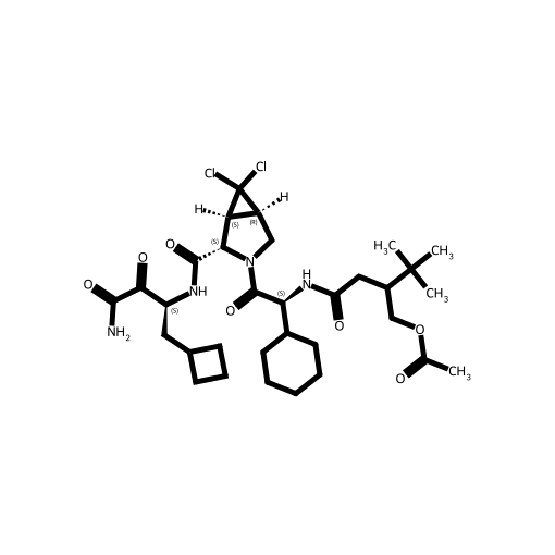 CC(=O)OCC(CC(=O)N[C@H](C(=O)N1C[C@H]2[C@@H]([C@H]1C(=O)N[C@@H](CC1CCC1)C(=O)C(N)=O)C2(Cl)Cl)C1CCCCC1)C(C)(C)C